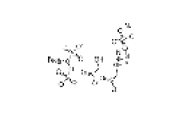 O=S(=O)([O-])OOS(=O)(=O)[O-].O=S(=O)([O-])[O-].O=S([O-])CO.O=S([O-])CO.[Fe+2].[NH4+].[NH4+].[Na+].[Na+]